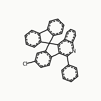 Clc1ccc2c(c1)C1(c3ccccc3-c3ccccc31)c1c-2c(-c2ccccc2)nc2ccccc12